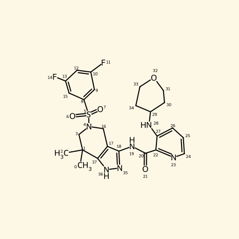 CC1(C)CN(S(=O)(=O)c2cc(F)cc(F)c2)Cc2c(NC(=O)c3ncccc3NC3CCOCC3)n[nH]c21